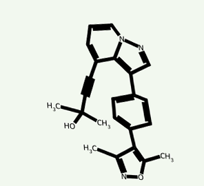 Cc1noc(C)c1-c1ccc(-c2cnn3cccc(C#CC(C)(C)O)c23)cc1